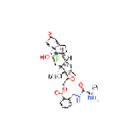 CO[C@]1(C(=O)COC(=O)c2ccccc2CNC(=O)[C@@H](N)C(C)C)[C@H](C)C[C@H]2[C@@H]3CCC4=CC(=O)C=C[C@]4(C)[C@@]3(F)[C@@H](O)C[C@@]21C